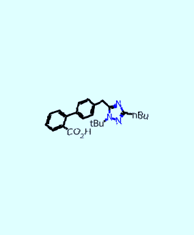 CCCCc1nc(Cc2ccc(-c3ccccc3C(=O)O)cc2)n(C(C)(C)C)n1